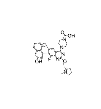 CN1CCC[C@H]1COc1nc(N2CCN(C(=O)O)CC2)c2cc(Cl)c(-c3cc(O)cc4ccccc34)c(F)c2n1